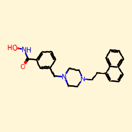 O=C(NO)c1cccc(CN2CCN(CCc3cccc4ccccc34)CC2)c1